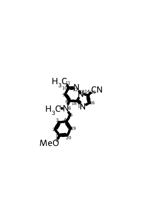 COc1ccc(CN(C)c2cc(C)nn3c(C#N)cnc23)cc1